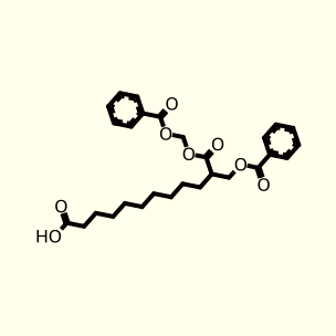 O=C(O)CCCCCCCCCC(COC(=O)c1ccccc1)C(=O)OCOC(=O)c1ccccc1